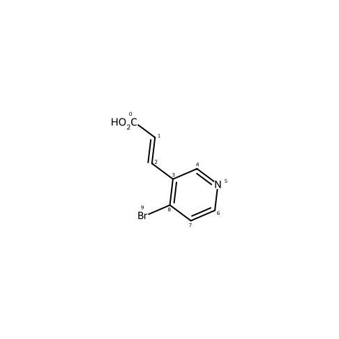 O=C(O)/C=C/c1cnccc1Br